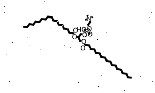 CCCCCCCC/C=C\CCCCCCCC(=O)OC(COC(=O)CCCCCCCCCCCCCCCCC)COP(=O)(O)OCC[N+](C)(C)C